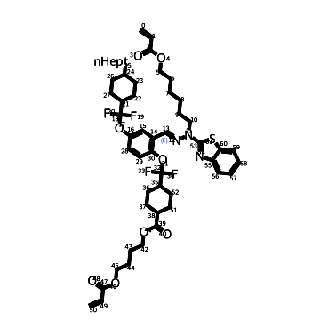 C=CC(=O)OCCCCCCN(/N=C/c1cc(OC(F)(F)C2CCC(CCCCCCC)CC2)ccc1OC(F)(F)C1CCC(C(=O)OCCCCOC(=O)C=C)CC1)c1nc2ccccc2s1